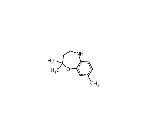 Cc1ccc2c(c1)OC(C)(C)CCN2